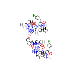 CN[C@@H](C)C(=O)N[C@H](C(=O)N1CC(C)(C)c2[nH]c(=O)c(Cc3ccc(F)cc3)cc21)[C@H](C)n1cc(COc2ccc3ccc(OCc4cn([C@@H](C)[C@H](NC(=O)[C@H](C)NC)C(=O)N5CC(C)(C)c6[nH]c(=O)c(Cc7ccc(F)cc7)cc65)nn4)cc3c2)nn1